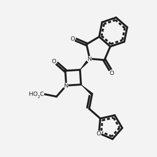 O=C(O)CN1C(=O)[C@@H](N2C(=O)c3ccccc3C2=O)[C@H]1C=Cc1ccco1